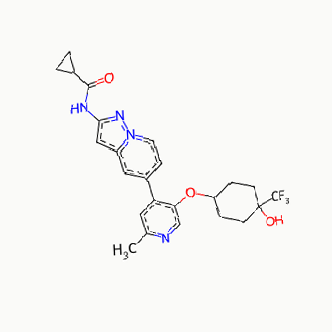 Cc1cc(-c2ccn3nc(NC(=O)C4CC4)cc3c2)c(OC2CCC(O)(C(F)(F)F)CC2)cn1